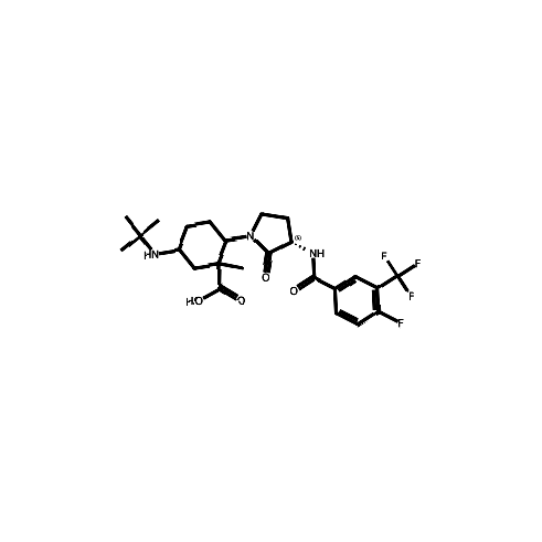 CC(C)(C)NC1CCC(N2CC[C@H](NC(=O)c3ccc(F)c(C(F)(F)F)c3)C2=O)C(C)(C(=O)O)C1